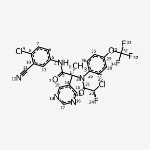 C[C@@](C(=O)Nc1ccc(Cl)c(C#N)c1)(c1cncnc1)N(C(=O)[C@H](F)Cl)c1ccc(OC(F)(F)F)cc1